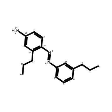 CCCc1cccc(N=Nc2ccc(N)cc2CCC)c1